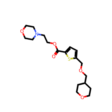 O=C(OCCN1CCOCC1)c1ccc(COCC2CCOCC2)s1